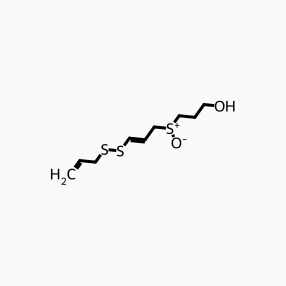 C=CCSS/C=C/C[S+]([O-])CCCO